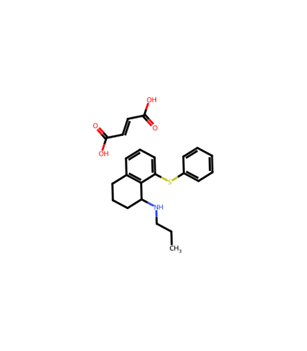 CCCNC1CCCc2cccc(Sc3ccccc3)c21.O=C(O)C=CC(=O)O